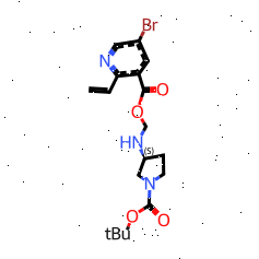 C=Cc1ncc(Br)cc1C(=O)OCN[C@H]1CCN(C(=O)OC(C)(C)C)C1